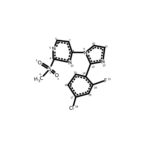 CS(=O)(=O)c1nccc(-n2ccnc2-c2ccc(Cl)cc2F)n1